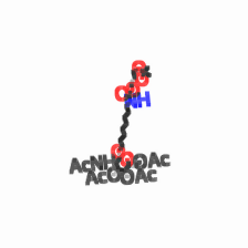 CC(=O)N[C@H]1[C@H](OCCCCCCCCNC(=O)OC[C@@H]2COC(C)(C)O2)O[C@H](COC(C)=O)[C@H](OC(C)=O)[C@@H]1OC(C)=O